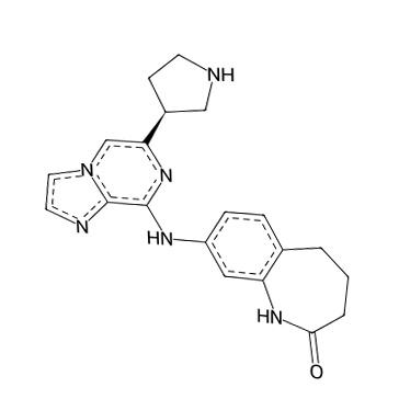 O=C1CCCc2ccc(Nc3nc([C@H]4CCNC4)cn4ccnc34)cc2N1